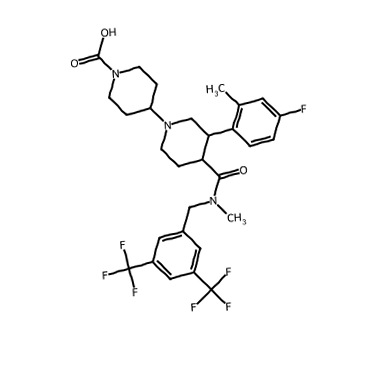 Cc1cc(F)ccc1C1CN(C2CCN(C(=O)O)CC2)CCC1C(=O)N(C)Cc1cc(C(F)(F)F)cc(C(F)(F)F)c1